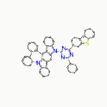 c1ccc(-c2nc(-c3ccc4c(c3)sc3ccccc34)nc(-n3c4ccccc4c4c5c6c(cc43)c3ccccc3n6-c3ccccc3-c3ccccc3-5)n2)cc1